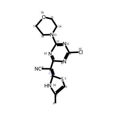 CC1=CS/C(=C(/C#N)c2nc(Cl)nc(N3CCOCC3)n2)N1